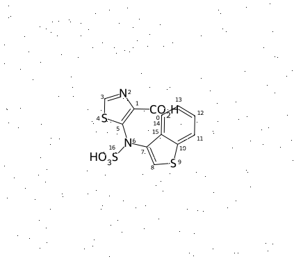 O=C(O)c1ncsc1N(c1csc2ccccc12)S(=O)(=O)O